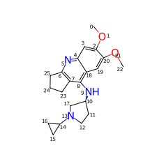 COc1cc2nc3c(c(N[C@H]4CCN(C5CC5)C4)c2cc1OC)CCC3